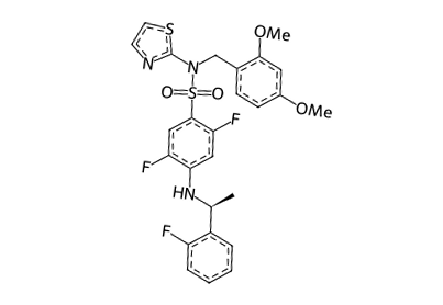 COc1ccc(CN(c2nccs2)S(=O)(=O)c2cc(F)c(N[C@@H](C)c3ccccc3F)cc2F)c(OC)c1